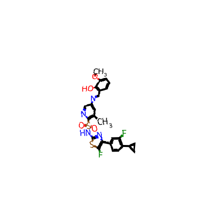 COc1cccc(/C=N/c2cnc(S(=O)(=O)Nc3nc(-c4ccc(C5CC5)c(F)c4)c(F)s3)c(C)c2)c1O